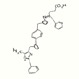 Cc1oc(-c2ccccc2)nc1COc1ccc(CON=C(CCC(=O)O)c2cccnc2)cc1